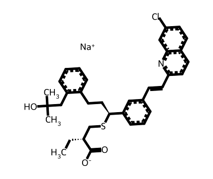 CC[C@H](CS[C@@H](CCc1ccccc1CC(C)(C)O)c1cccc(C=Cc2ccc3ccc(Cl)cc3n2)c1)C(=O)[O-].[Na+]